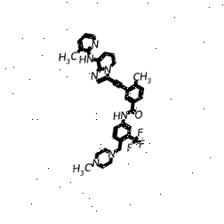 Cc1ccc(C(=O)Nc2ccc(CN3CCN(C)CC3)c(C(F)(F)F)c2)cc1C#Cc1cnc2n1CCC=C2Nc1ncccc1C